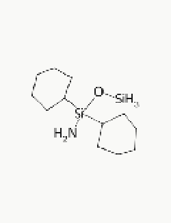 N[Si](O[SiH3])(C1CCCCC1)C1CCCCC1